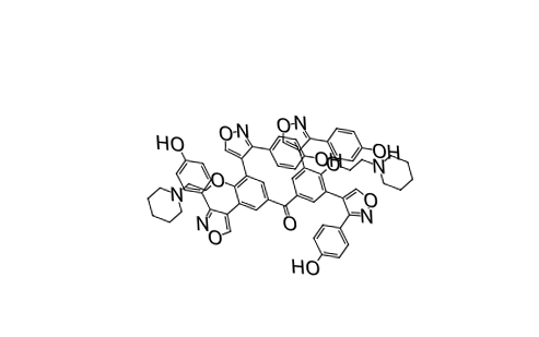 O=C(c1cc(-c2conc2-c2ccc(O)cc2)c(OCCN2CCCCC2)c(-c2conc2-c2ccc(O)cc2)c1)c1cc(-c2conc2-c2ccc(O)cc2)c(OCCN2CCCCC2)c(-c2conc2-c2ccc(O)cc2)c1